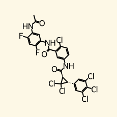 CC(=O)Nc1cc(NC(=O)c2cc(NC(=O)[C@H]3[C@H](c4cc(Cl)c(Cl)c(Cl)c4)C3(Cl)Cl)ccc2Cl)c(F)cc1F